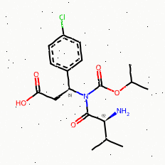 CC(C)OC(=O)N(C(=O)[C@@H](N)C(C)C)[C@@H](CC(=O)O)c1ccc(Cl)cc1